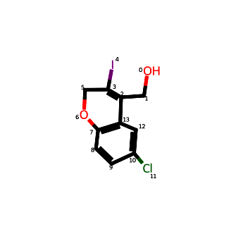 OCC1=C(I)COc2ccc(Cl)cc21